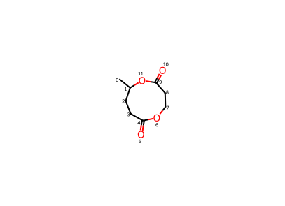 CC1CCC(=O)OCCC(=O)O1